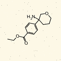 CCOC(=O)c1ccc(C2(N)CCCOC2)cc1